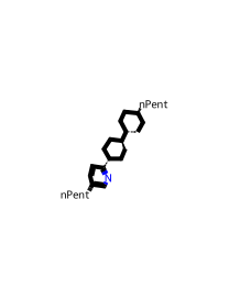 CCCCCc1ccc([C@H]2CC[C@H]([C@H]3CC[C@H](CCCCC)CC3)CC2)nc1